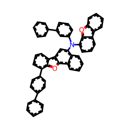 c1ccc(-c2ccc(-c3cccc4c3oc3c5ccccc5c(N(c5cccc(-c6ccccc6)c5)c5cccc6c5oc5ccccc56)cc43)cc2)cc1